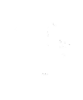 COc1ccc(C(Sc2c(N)cccc2OCc2ccccc2)C(O)C(=O)O)cc1